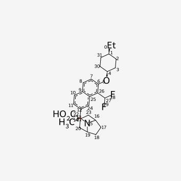 CC[C@H]1CC[C@@H](Oc2ccc3ccc(C(C)N4C5CCC4CC(C(=O)O)C5)cc3c2C(F)F)CC1